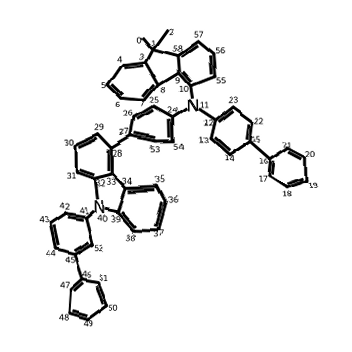 CC1(C)c2ccccc2-c2c(N(c3ccc(-c4ccccc4)cc3)c3ccc(-c4cccc5c4c4ccccc4n5-c4cccc(-c5ccccc5)c4)cc3)cccc21